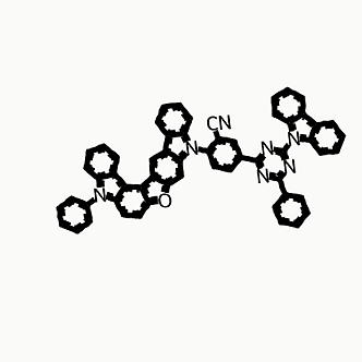 N#Cc1cc(-c2nc(-c3ccccc3)nc(-n3c4ccccc4c4ccccc43)n2)ccc1-n1c2ccccc2c2cc3c(cc21)oc1ccc2c(c4ccccc4n2-c2ccccc2)c13